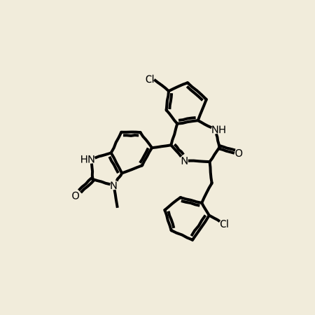 Cn1c(=O)[nH]c2ccc(C3=NC(Cc4ccccc4Cl)C(=O)Nc4ccc(Cl)cc43)cc21